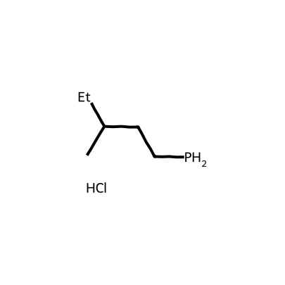 CCC(C)CCP.Cl